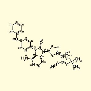 CC(C)(C)/C=C(/C#N)C(=O)N1CC[C@H](n2c(=O)n(-c3ccc(Oc4ccccc4)cc3)c3c(N)ncnc32)C1